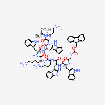 CC[C@H](C)[C@H](NC(=O)[C@H](CCCCN)NC(=O)[C@H](Cc1c[nH]c2ccccc12)NC(=O)[C@H](Cc1c[nH]c2ccccc12)NC(=O)[C@H](CCCCN)NC(=O)[C@H](CCCCN)NC(=O)[C@H](Cc1c[nH]c2ccccc12)NC(=O)[C@H](Cc1c[nH]c2ccccc12)NC(=O)CNC(=O)OCC1c2ccccc2-c2ccccc21)C(=O)O